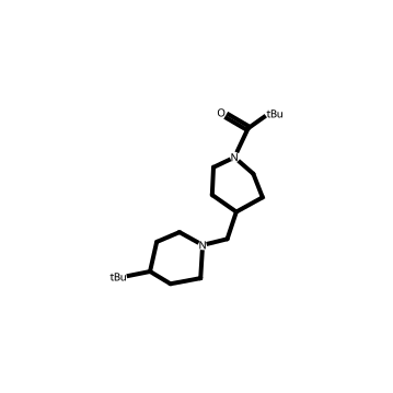 CC(C)(C)C(=O)N1CCC(CN2CCC(C(C)(C)C)CC2)CC1